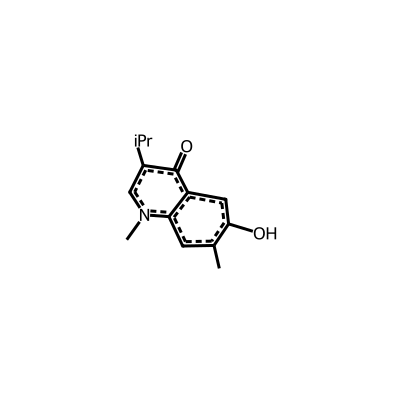 Cc1cc2c(cc1O)c(=O)c(C(C)C)cn2C